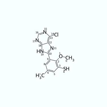 COc1c(S)cc(C)cc1-c1nc2c(Cl)ncnc2[nH]1